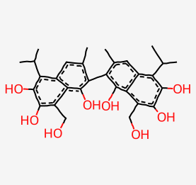 Cc1cc2c(C(C)C)c(O)c(O)c(CO)c2c(O)c1-c1c(C)cc2c(C(C)C)c(O)c(O)c(CO)c2c1O